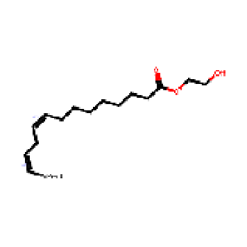 CCCCC/C=C\C/C=C\CCCCCCCC(=O)OCCO